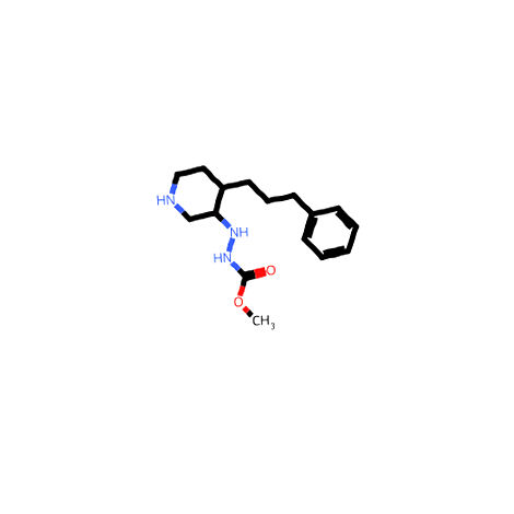 COC(=O)NNC1CNCCC1CCCc1ccccc1